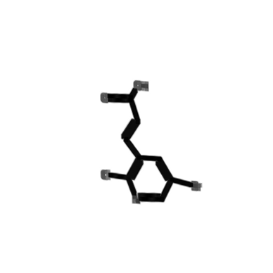 O=C(O)C=Cc1cc(Br)cnc1Cl